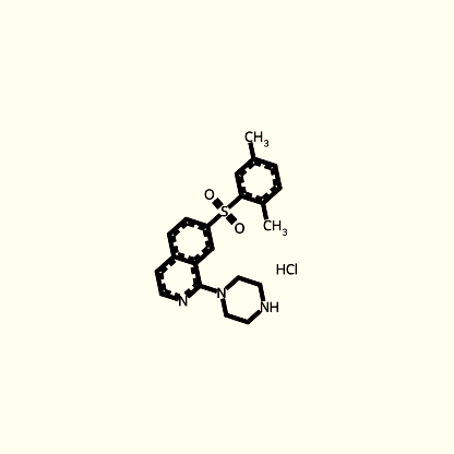 Cc1ccc(C)c(S(=O)(=O)c2ccc3ccnc(N4CCNCC4)c3c2)c1.Cl